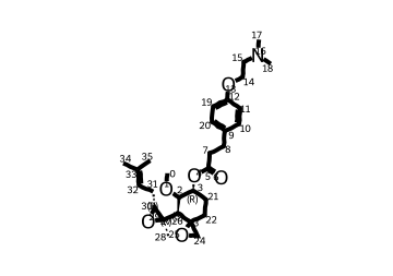 COC1[C@H](OC(=O)CCc2ccc(OCCN(C)C)cc2)CCC2(CO2)[C@H]1[C@@]1(C)O[C@@H]1CC=C(C)C